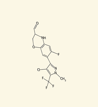 Cn1nc(-c2cc3c(cc2F)NC(C=O)CO3)c(Cl)c1C(F)(F)F